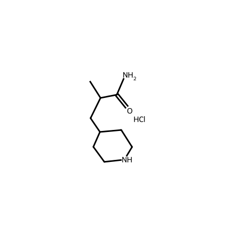 CC(CC1CCNCC1)C(N)=O.Cl